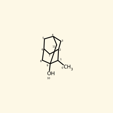 CC1[C]2CC3CC(C2)CC1(O)C3